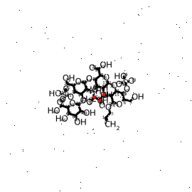 C=CCO[C@@H]1OC(CO)[C@H](OS(=O)(=O)O)[C@H](O[C@@H]2OC(C(=O)O)[C@@H](O[C@@H]3OC(CO)[C@H](OS(=O)(=O)O)[C@H](O[C@@H]4OC(C(=O)O)[C@@H](O)[C@H](O)C4O)C3NC(C)=O)[C@H](O)C2O)C1NC(C)=O